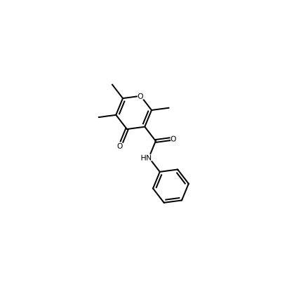 Cc1oc(C)c(C(=O)Nc2ccccc2)c(=O)c1C